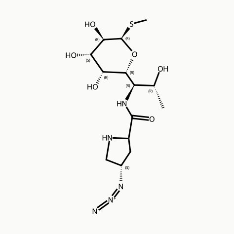 CS[C@H]1O[C@H]([C@H](NC(=O)C2C[C@H](N=[N+]=[N-])CN2)[C@@H](C)O)[C@H](O)[C@H](O)[C@H]1O